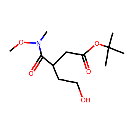 CON(C)C(=O)C(CCO)CC(=O)OC(C)(C)C